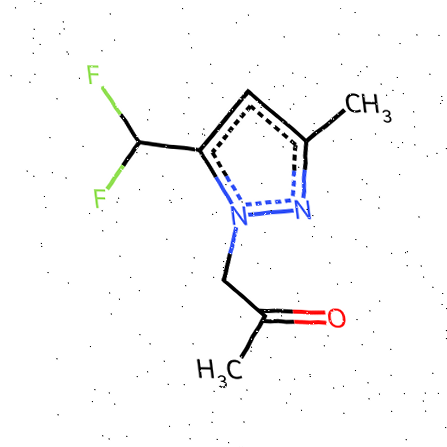 CC(=O)Cn1nc(C)cc1C(F)F